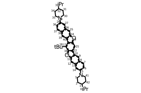 CC(C)C1CCN(c2ccc3cc4c(cc3c2)oc2c(C(C)(C)C)c3c(cc24)oc2cc4cc(N5CCC(C(C)C)CC5)ccc4cc23)CC1